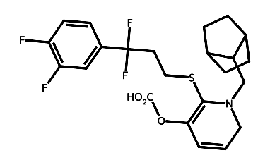 O=C(O)OC1=C(SCCC(F)(F)c2ccc(F)c(F)c2)N(CC2C3CCC2CC3)CC=C1